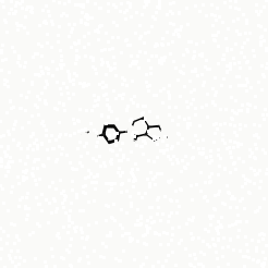 O=C(O)N1CC2CCN(c3ccc(OC(F)(F)F)cc3)C(=O)C2C1